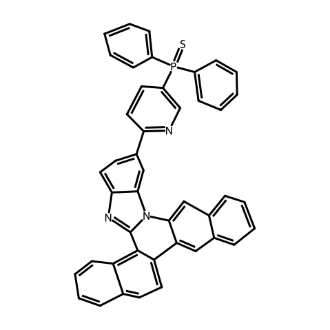 S=P(c1ccccc1)(c1ccccc1)c1ccc(-c2ccc3nc4c5c6ccccc6ccc5c5cc6ccccc6cc5n4c3c2)nc1